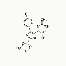 C=C1N=C(c2[nH]c(C(OC)OC)nc2-c2ccc(F)cc2)C(S)=CN1